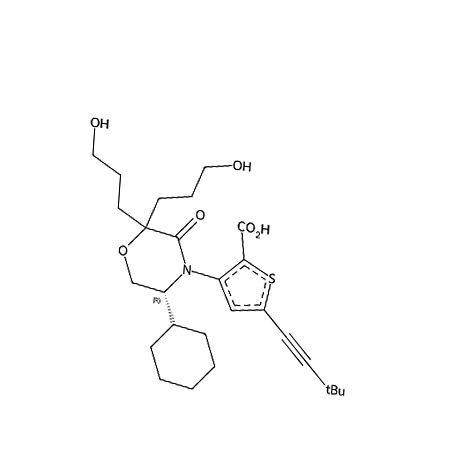 CC(C)(C)C#Cc1cc(N2C(=O)C(CCCO)(CCCO)OC[C@H]2C2CCCCC2)c(C(=O)O)s1